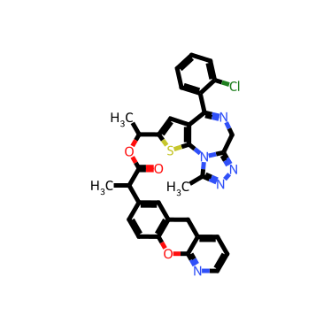 Cc1nnc2n1-c1sc(C(C)OC(=O)C(C)c3ccc4c(c3)Cc3cccnc3O4)cc1C(c1ccccc1Cl)=NC2